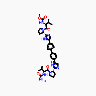 COC(=O)N[C@H](C(=O)N1CCC[C@H]1c1ncc(-c2ccc(-c3ccc(-c4cnc([C@@H]5CCCN5C(=O)[C@@H](NC(N)=O)C(C)C)[nH]4)cc3)cc2)[nH]1)C(C)C